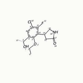 CCOc1c([C@@H](C)O)cc(Cl)c(F)c1C1CNC(=O)C1